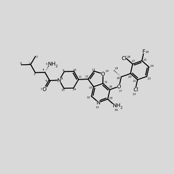 CC(C)C[C@H](N)C(=O)N1CC=C(c2coc3c(O[C@H](C)c4c(Cl)ccc(F)c4Cl)c(N)ncc23)CC1